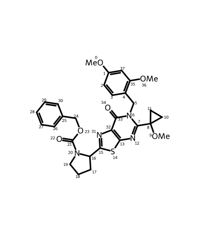 COc1ccc(Cn2c(C3(OC)CC3)nc3sc(C4CCCN4C(=O)OCc4ccccc4)nc3c2=O)c(OC)c1